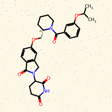 CC(C)Oc1cccc(C(=O)N2CCCC[C@H]2COc2ccc3c(c2)CN(C2CCC(=O)NC2=O)C3=O)c1